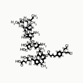 C=CC(C)N=C(S)NNC(S)=NC.CN(Cc1cnc2nc(N)nc(N)c2n1)c1ccc(C(=O)N[C@@H](CCC(=O)O)C(=O)O)cc1.Nc1ccn([C@@H]2O[C@H](CO)[C@@H](O)C2(F)F)c(=O)n1.Nc1nc(=S)c2[nH]cnc2[nH]1.O=C(O)CCCc1ccc(N(CCCl)CCCl)cc1.Sn1cnc2cncnc21